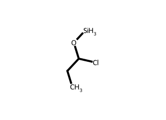 CCC(Cl)O[SiH3]